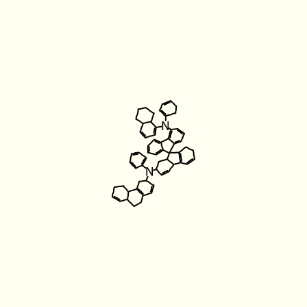 C1=CCCC(N(C2=CC=CC3CCCCC23)c2cccc3c2-c2ccccc2C32C3=C(C=CCC3)C3C=CC(N(c4ccccc4)C4C=CC5=C(C4)C4CCC=CC4CC5)CC32)=C1